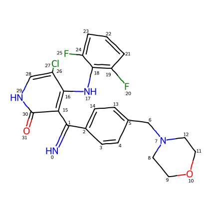 N=C(c1ccc(CN2CCOCC2)cc1)c1c(Nc2c(F)cccc2F)c(Cl)c[nH]c1=O